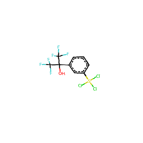 OC(c1cccc(S(Cl)(Cl)Cl)c1)(C(F)(F)F)C(F)(F)F